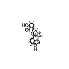 O=Cc1c(O)cccc1OCC1CCCN1C(=O)c1cccc(O)c1C=O